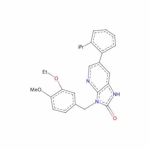 CCOc1cc(Cn2c(=O)[nH]c3cc(-c4ccccc4C(C)C)cnc32)ccc1OC